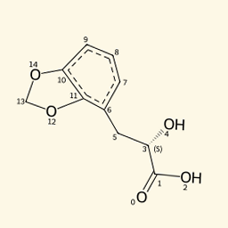 O=C(O)[C@@H](O)Cc1cccc2c1OCO2